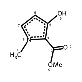 COC(=O)c1c(O)ccn1C